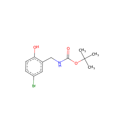 CC(C)(C)OC(=O)NCc1cc(Br)ccc1O